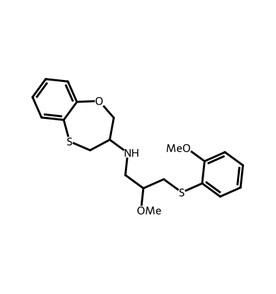 COc1ccccc1SCC(CNC1COc2ccccc2SC1)OC